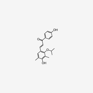 Cc1cc(/C=C/C(=O)c2ccc(O)cc2)c(OC(C)C)c(C)c1O